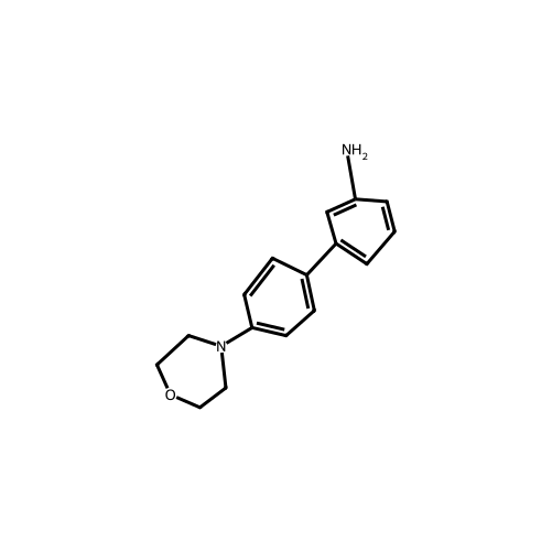 Nc1cccc(-c2ccc(N3CCOCC3)cc2)c1